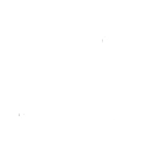 CCCC(C)CC=O.CCCCC(C)C=O